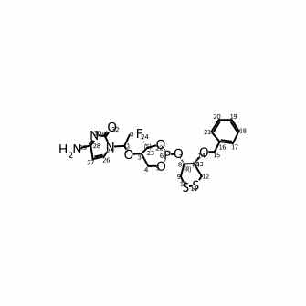 CC(OC1COP(O[C@H]2CSSC[C@@H]2OCc2ccccc2)O[C@H]1F)n1ccc(N)nc1=O